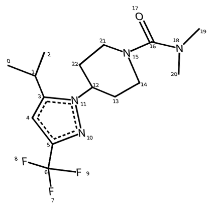 CC(C)c1cc(C(F)(F)F)nn1C1CCN(C(=O)N(C)C)CC1